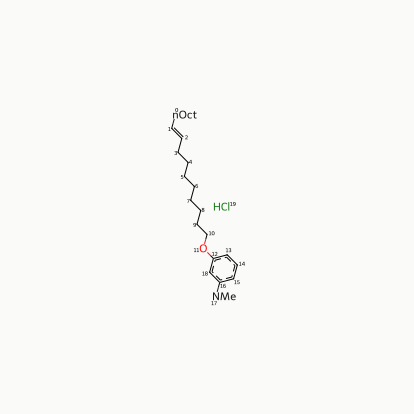 CCCCCCCCC=CCCCCCCCCOc1cccc(NC)c1.Cl